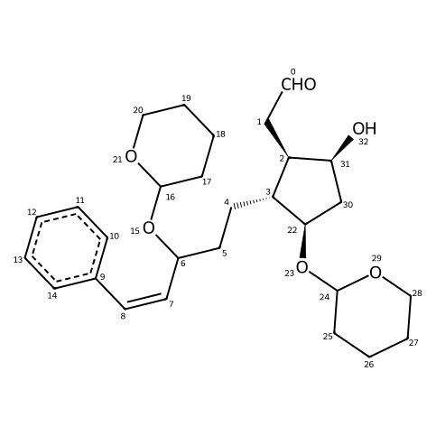 O=CC[C@@H]1[C@@H](CCC(/C=C\c2ccccc2)OC2CCCCO2)[C@H](OC2CCCCO2)C[C@@H]1O